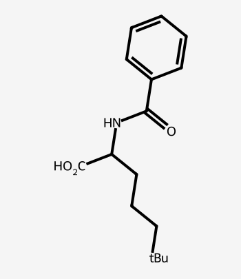 CC(C)(C)CCCC(NC(=O)c1ccccc1)C(=O)O